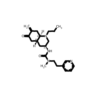 C=C1C[C@@H]2[C@@H](CC1=O)C[C@H](NC(=O)N(C)CCc1cccnc1)CN2CCC